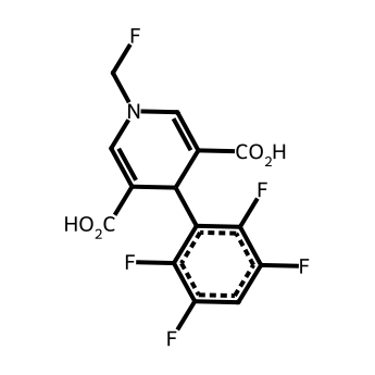 O=C(O)C1=CN(CF)C=C(C(=O)O)C1c1c(F)c(F)cc(F)c1F